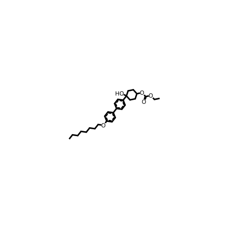 CCCCCCCCOc1ccc(-c2ccc(C3(O)CCC(OC(=O)OCC)CC3)cc2)cc1